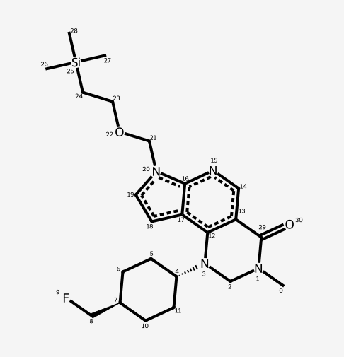 CN1CN([C@H]2CC[C@H](CF)CC2)c2c(cnc3c2ccn3COCC[Si](C)(C)C)C1=O